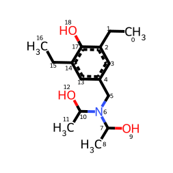 CCc1cc(CN(C(C)O)C(C)O)cc(CC)c1O